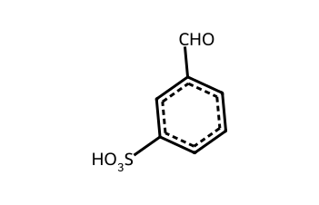 O=Cc1cccc(S(=O)(=O)O)c1